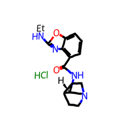 CCNc1nc2c(C(=O)N[C@@H]3CN4CCC3CC4)cccc2o1.Cl